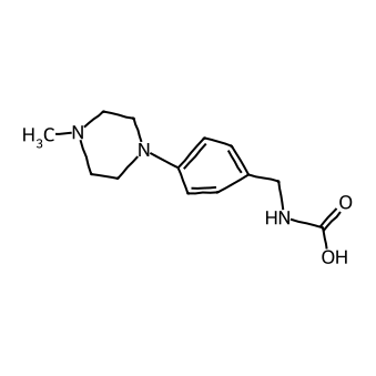 CN1CCN(c2ccc(CNC(=O)O)cc2)CC1